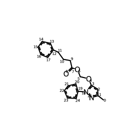 Cc1cc(OCOC(=O)CCCc2ccccc2)n(-c2ccccc2)n1